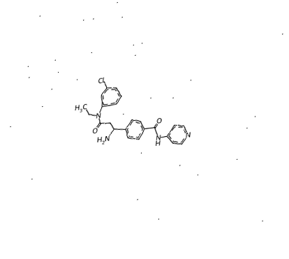 CCN(C(=O)CC(N)c1ccc(C(=O)Nc2ccncc2)cc1)c1cccc(Cl)c1